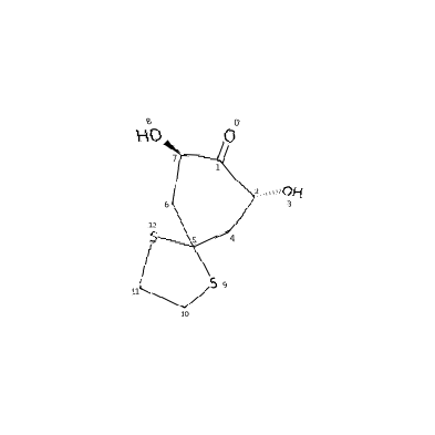 O=C1[C@H](O)CC2(C[C@H]1O)SCCS2